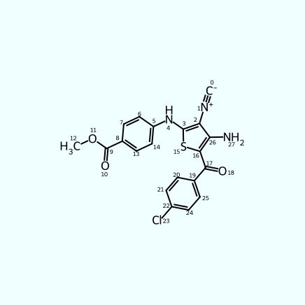 [C-]#[N+]c1c(Nc2ccc(C(=O)OC)cc2)sc(C(=O)c2ccc(Cl)cc2)c1N